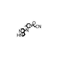 C[C@@H]1CCN(C(=O)CC#N)CC1N(C)c1ccnc2[nH]ccc12